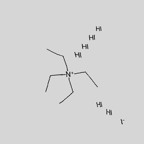 CC[N+](CC)(CC)CC.I.I.I.I.I.I.[I-]